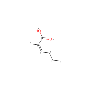 C[CH]CC=C(C)C(=O)O